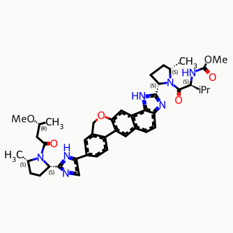 COC(=O)N[C@H](C(=O)N1[C@@H](C)CC[C@H]1c1nc2ccc3cc4c(cc3c2[nH]1)OCc1cc(-c2cnc([C@@H]3CC[C@H](C)N3C(=O)C[C@@H](C)OC)[nH]2)ccc1-4)C(C)C